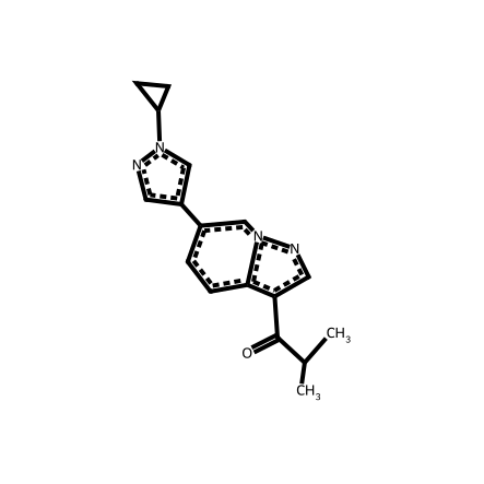 CC(C)C(=O)c1cnn2cc(-c3cnn(C4CC4)c3)ccc12